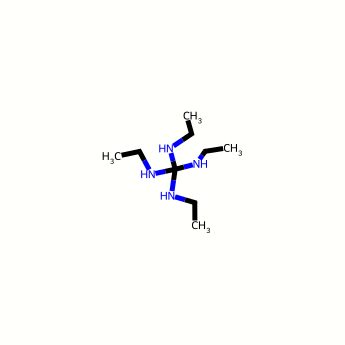 CCNC(NCC)(NCC)NCC